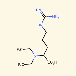 N=C(N)NCCCC(C(=O)O)N(CC(F)(F)F)CC(F)(F)F